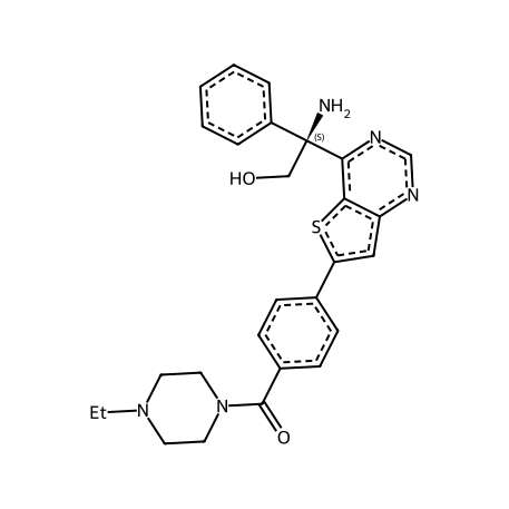 CCN1CCN(C(=O)c2ccc(-c3cc4ncnc([C@](N)(CO)c5ccccc5)c4s3)cc2)CC1